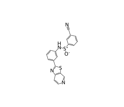 N#Cc1cccc([S+]([O-])Nc2cccc(-c3nc4ccncc4s3)c2)c1